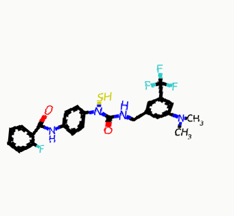 CN(C)c1cc(CNC(=O)N(S)c2ccc(NC(=O)c3ccccc3F)cc2)cc(C(F)(F)F)c1